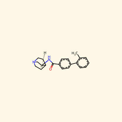 Cc1ccccc1-c1ccc(C(=O)N[C@@H]2CN3CCC2CC3)cc1